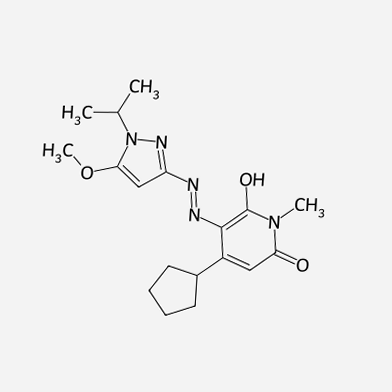 COc1cc(N=Nc2c(C3CCCC3)cc(=O)n(C)c2O)nn1C(C)C